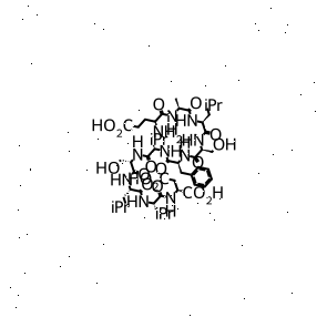 CC(C)C[C@H](NC(=O)[C@H](C)NC(=O)[C@@H](N)CCC(=O)O)C(=O)N[C@@H](CO)C(=O)N[C@@H](Cc1ccccc1)C(=O)N[C@H](C(=O)N[C@@H](CO)C(=O)N[C@@H](CC(C)C)C(=O)N[C@H](C(=O)N[C@@H](CC(=O)O)C(=O)O)C(C)C)C(C)C